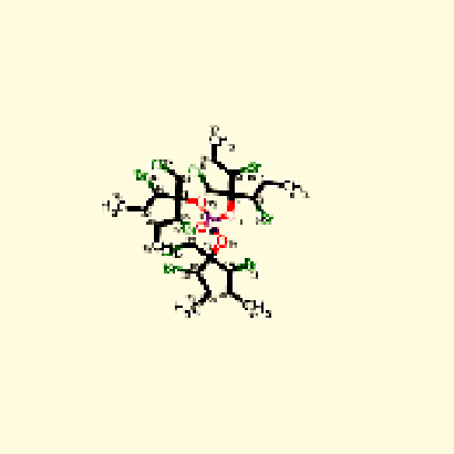 CCC(Br)C(CCl)(OP(=O)(OC(CCl)(C(Br)CC)C(Br)CC)OC(CCl)(C(Br)CC)C(Br)CC)C(Br)CC